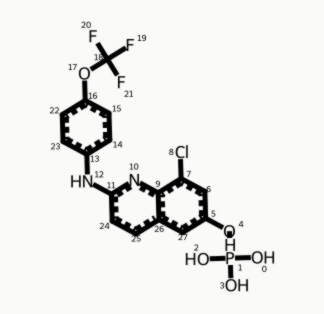 O[PH](O)(O)Oc1cc(Cl)c2nc(Nc3ccc(OC(F)(F)F)cc3)ccc2c1